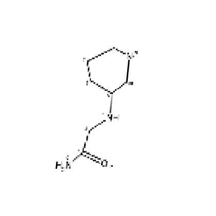 NC(=O)CNC1CCC[N]C1